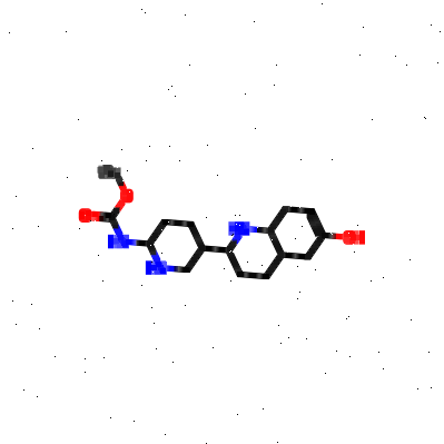 CC(C)(C)OC(=O)NC1CCC(C2CCC3CC(O)=CCC3N2)CN1